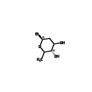 CC[C@H]1CC(O)[C@H](O)C(C)O1